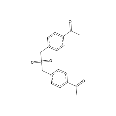 CC(=O)c1ccc(CS(=O)(=O)Cc2ccc(C(C)=O)cc2)cc1